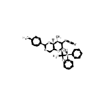 Cc1ccc(C2OCC3O[C@@H](O[Si](c4ccccc4)(c4ccccc4)C(C)(C)C)C(N=[N+]=[N-])[C@@H](C)[C@@H]3O2)cc1